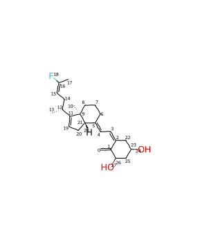 C=C1/C(=C\C=C2/CCC[C@]3(C)C([C@H](C)C/C=C(\C)F)=CC[C@@H]23)CC(O)CC1O